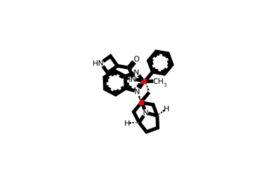 Cc1nc2ccccc2n1[C@@H]1C[C@H]2CC[C@@H](C1)N2CC[C@H](NC(=O)C1CNC1)c1ccccc1